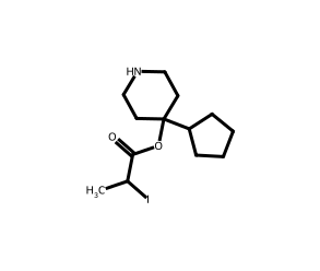 CC(I)C(=O)OC1(C2CCCC2)CCNCC1